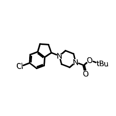 CC(C)(C)OC(=O)N1CCN(C2CCc3cc(Cl)ccc32)CC1